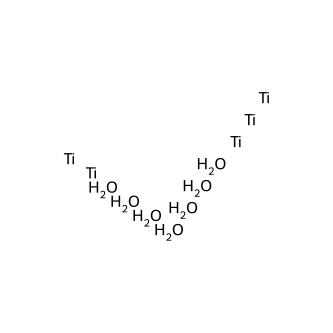 O.O.O.O.O.O.O.[Ti].[Ti].[Ti].[Ti].[Ti]